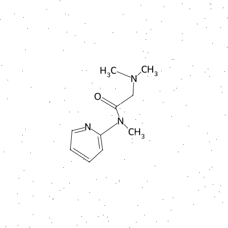 CN(C)CC(=O)N(C)c1ccccn1